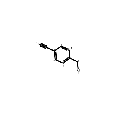 N#Cc1cnc(CCl)nc1